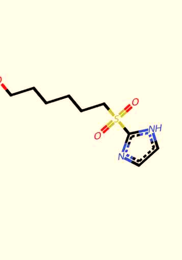 [O]CCCCCCS(=O)(=O)c1ncc[nH]1